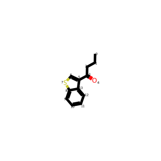 CCCC(=O)c1csc2ccccc12